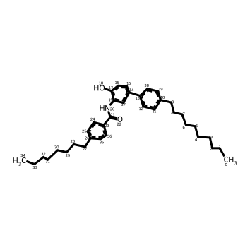 CCCCCCCCCCc1ccc(-c2ccc(O)c(NC(=O)c3ccc(CCCCCCCC)cc3)c2)cc1